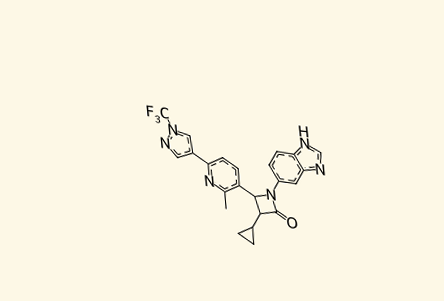 Cc1nc(-c2cnn(C(F)(F)F)c2)ccc1C1C(C2CC2)C(=O)N1c1ccc2[nH]cnc2c1